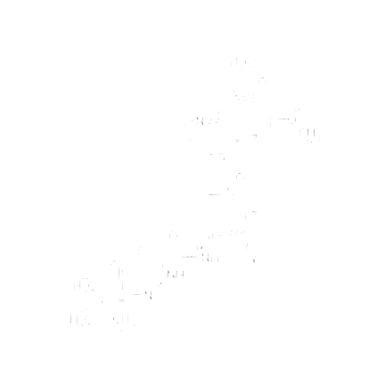 COc1cc2nccc(Oc3ccc(NC(=O)Nc4nc(C(C)(C)C)cs4)c(F)c3)c2cc1OC